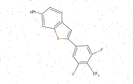 CCCc1ccc2cc(-c3cc(F)c(C(F)(F)F)c(F)c3)sc2c1